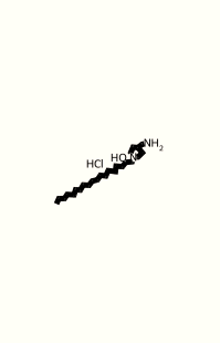 CCCCCCCCCCCCCCCCCC(O)CN1CCC(CN)CC1.Cl